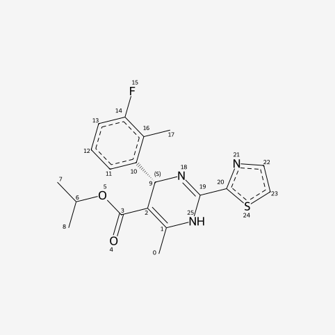 CC1=C(C(=O)OC(C)C)[C@H](c2cccc(F)c2C)N=C(c2nccs2)N1